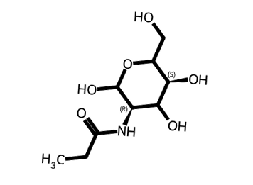 CCC(=O)N[C@H]1C(O)OC(CO)[C@@H](O)C1O